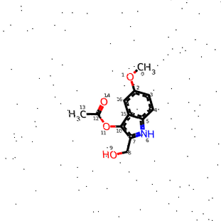 COc1ccc2[nH]c(CO)c(OC(C)=O)c2c1